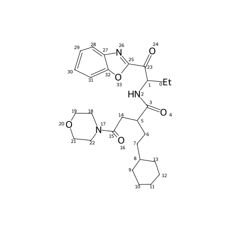 CCC(NC(=O)C(CCC1CCCCC1)CC(=O)N1CCOCC1)C(=O)c1nc2ccccc2o1